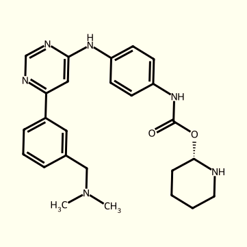 CN(C)Cc1cccc(-c2cc(Nc3ccc(NC(=O)O[C@H]4CCCCN4)cc3)ncn2)c1